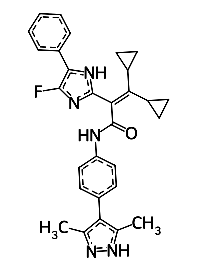 Cc1n[nH]c(C)c1-c1ccc(NC(=O)C(=C(C2CC2)C2CC2)c2nc(F)c(-c3ccccc3)[nH]2)cc1